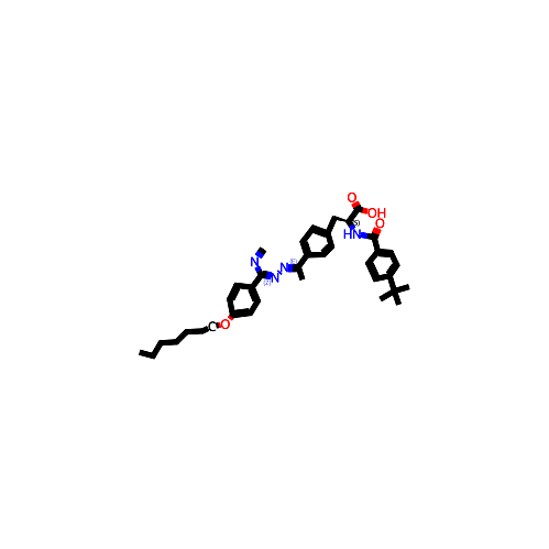 C=N/C(=N\N=C(/C)c1ccc(C[C@H](NC(=O)c2ccc(C(C)(C)C)cc2)C(=O)O)cc1)c1ccc(OCCCCCCC)cc1